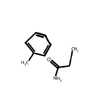 CCC(N)=O.Cc1ccccc1